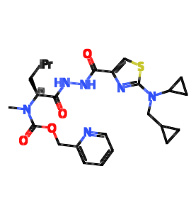 CC(C)C[C@@H](C(=O)NNC(=O)c1csc(N(CC2CC2)C2CC2)n1)N(C)C(=O)OCc1ccccn1